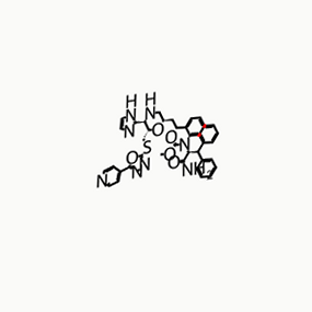 COC(=O)N(c1ccccc1CC[C@@H]1CN[C@H](c2ncc[nH]2)[C@@H](CSc2nnc(-c3ccncc3)o2)O1)[C@H](C(N)=O)C(c1ccccc1)c1ccccc1